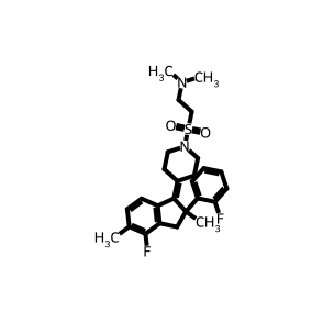 Cc1ccc2c(c1F)CC(C)(c1ccccc1F)C2=C1CCN(S(=O)(=O)CCN(C)C)CC1